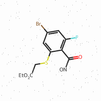 CCOC(=O)CSc1cc(Br)cc(F)c1C(=O)N=O